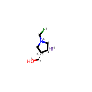 I.OC[C@H]1CCN(CF)C1